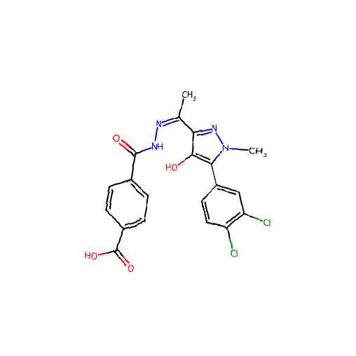 C/C(=N/NC(=O)c1ccc(C(=O)O)cc1)c1nn(C)c(-c2ccc(Cl)c(Cl)c2)c1O